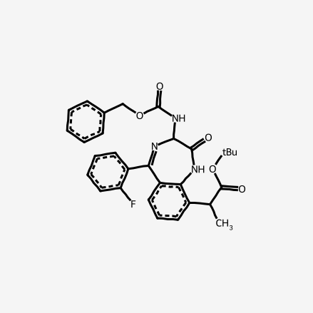 CC(C(=O)OC(C)(C)C)c1cccc2c1NC(=O)C(NC(=O)OCc1ccccc1)N=C2c1ccccc1F